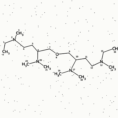 CCN(C)CCC(COCC(CCN(C)CC)N(C)C)N(C)C